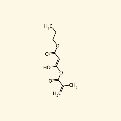 C=C(C)C(=O)OC(O)=CC(=O)OCCC